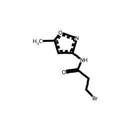 Cc1cc(NC(=O)CCBr)no1